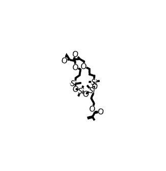 C=C(C)C(=O)OCCC[Si](C)(O[Si](C)(C)CCCOCC1CO1)O[Si](C)(C)O[Si](C)(C)CCCOCC1CO1